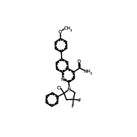 COc1ccc(-c2ccc3nc(N4CC(F)(F)CC4(Cl)c4ccccc4)cc(C(N)=O)c3c2)cc1